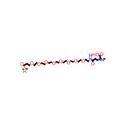 CN[C@@H](CCC(=O)NCCOCCOCCOCCOCCOCCOCCOCCOCCC(=O)[SH](C)C)C(=O)O